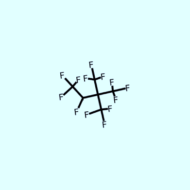 F[C](C(F)(F)F)C(C(F)(F)F)(C(F)(F)F)C(F)(F)F